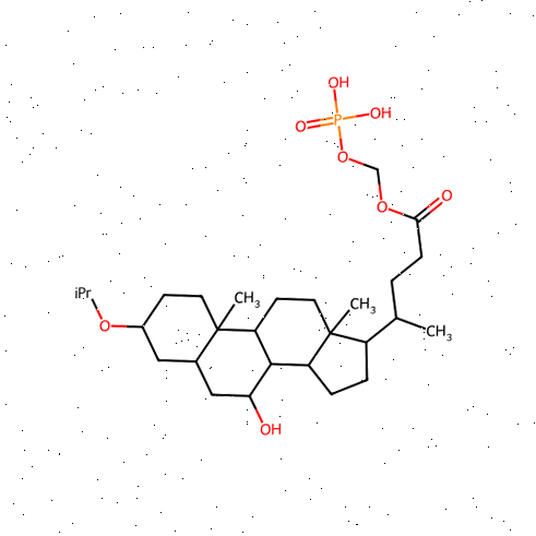 CC(C)OC1CCC2(C)C(C1)CC(O)C1C2CCC2(C)C(C(C)CCC(=O)OCOP(=O)(O)O)CCC12